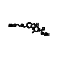 COCCOCc1ccc2c(c1)N1[C@H](C2)CN(C(=O)OC(C)(C)C)C[C@H]1C